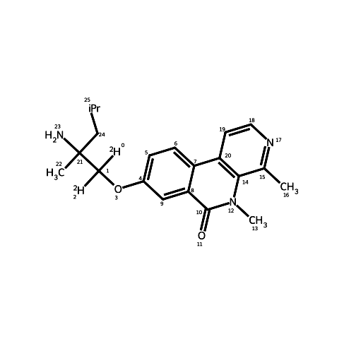 [2H]C([2H])(Oc1ccc2c(c1)c(=O)n(C)c1c(C)nccc21)C(C)(N)CC(C)C